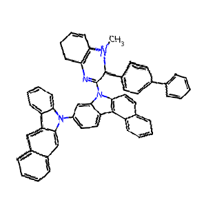 CN1C2=C(CCC=C2)N=C(n2c3cc(-n4c5ccccc5c5cc6ccccc6cc54)ccc3c3c4ccccc4ccc32)C1c1ccc(-c2ccccc2)cc1